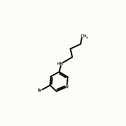 CCCCNc1cncc(Br)c1